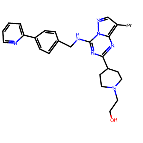 CC(C)c1cnn2c(NCc3ccc(-c4ccccn4)cc3)nc(C3CCN(CCO)CC3)nc12